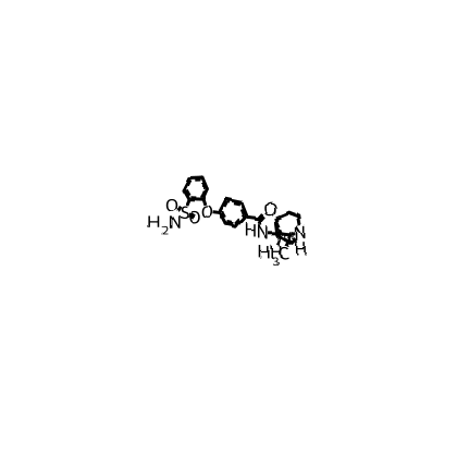 C[C@H]1[C@H](NC(=O)c2ccc(Oc3ccccc3S(N)(=O)=O)cc2)C2CCN1CC2